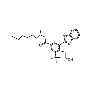 CCCCCCC(C)OC(=O)c1cc(-n2nc3ccccc3n2)c(CCO)c(C(C)(C)C)c1